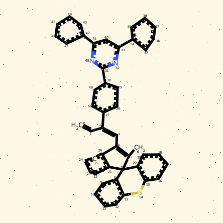 C=C/C(=C\C1=C(C)C2(c3ccccc3Sc3ccccc32)c2ccccc21)c1ccc(-c2nc(-c3ccccc3)cc(-c3ccccc3)n2)cc1